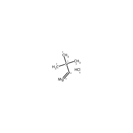 C[Si](C)(C)[CH]=[Mg].Cl